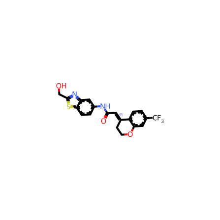 O=C(/C=C1\CCOc2cc(C(F)(F)F)ccc21)Nc1ccc2sc(CO)nc2c1